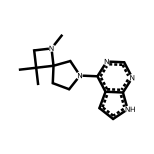 CN1CC(C)(C)C12CCN(c1ncnc3[nH]ccc13)C2